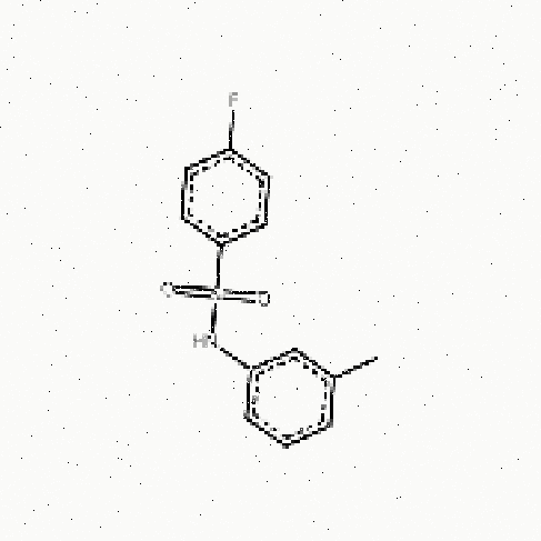 Cc1cccc(NS(=O)(=O)c2ccc(F)cc2)c1